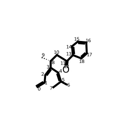 C=C/C=C(\C=C(C)C)[C@H](C)CC(=O)c1ccccc1